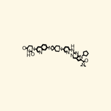 CN(C)C(=O)c1cc2cnc(Nc3ccc(N4CCC5(CC4)CN(c4ccc6cc(N7CCC(=O)NC7=O)cnc6c4)C5)cn3)nc2n1C1CCCC1